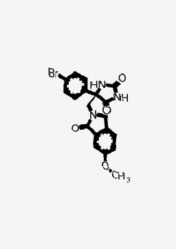 COc1ccc2c(c1)C(=O)N(C[C@@]1(c3ccc(Br)cc3)NC(=O)NC1=O)C2